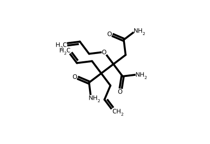 C=CCOC(CC(N)=O)(C(N)=O)C(CC=C)(CC=C)C(N)=O